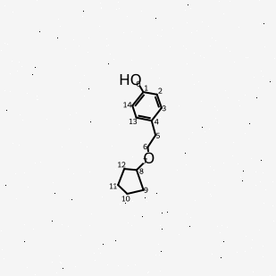 Oc1ccc(CCOC2CCCC2)cc1